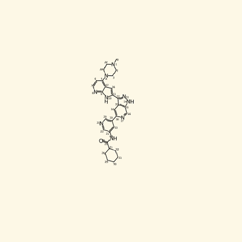 CN1CCN(c2ccnc3[nH]c(-c4n[nH]c5cnc(-c6cncc(NC(=O)C7CCCCC7)c6)cc45)cc23)CC1